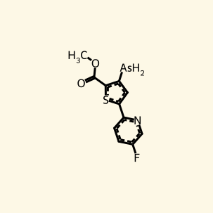 COC(=O)c1sc(-c2ccc(F)cn2)cc1[AsH2]